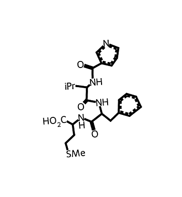 CSCCC(NC(=O)C(Cc1ccccc1)NC(=O)C(NC(=O)c1cccnc1)C(C)C)C(=O)O